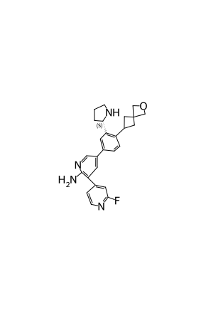 Nc1ncc(-c2ccc(C3CC4(COC4)C3)c([C@@H]3CCCN3)c2)cc1-c1ccnc(F)c1